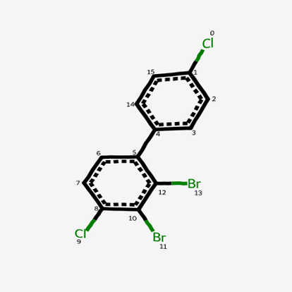 Clc1ccc(-c2ccc(Cl)c(Br)c2Br)cc1